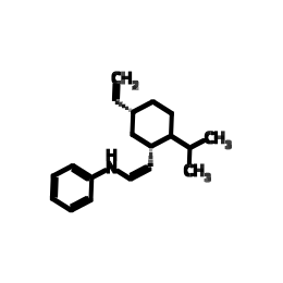 C=C[C@@H]1CCC(C(C)C)[C@H](/C=C\Nc2ccccc2)C1